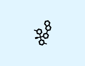 C#CC(c1cccc(C)c1)(c1cccc(C)c1)c1cccc(-c2ccc3ccccc3c2)c1